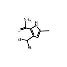 CCC(CC)c1cc(C)[nH]c1C(N)=O